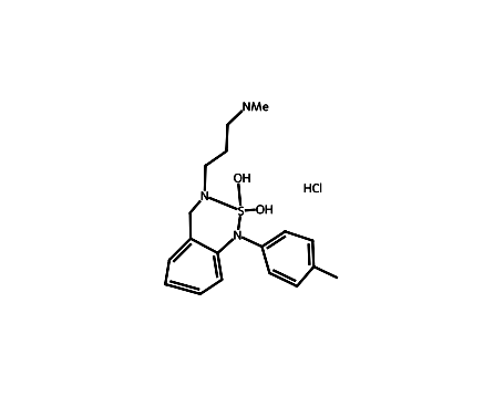 CNCCCN1Cc2ccccc2N(c2ccc(C)cc2)S1(O)O.Cl